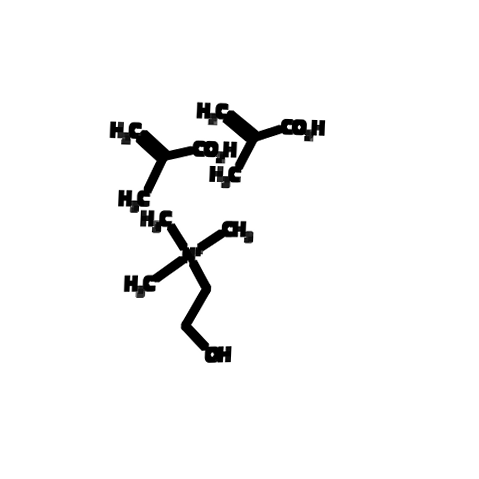 C=C(C)C(=O)O.C=C(C)C(=O)O.C[N+](C)(C)CCO